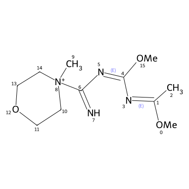 CO/C(C)=N/C(=N\C(=N)[N+]1(C)CCOCC1)OC